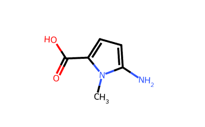 Cn1c(N)ccc1C(=O)O